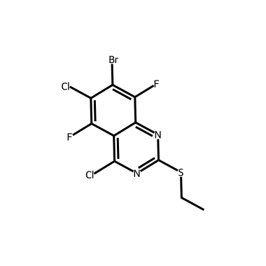 CCSc1nc(Cl)c2c(F)c(Cl)c(Br)c(F)c2n1